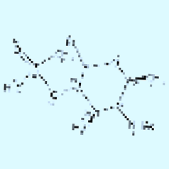 CCC1O[C@@H](C)C(NC(C)=O)[C@@H](C)[C@@H]1OP(C)(C)=O